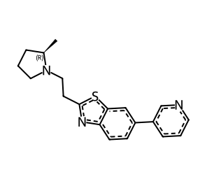 C[C@@H]1CCCN1CCc1nc2ccc(-c3cccnc3)cc2s1